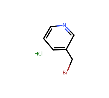 BrCc1cccnc1.Cl